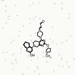 CN1CC[C@@H](Oc2nc3c(c(N4CCN(C=CC=O)CC4)n2)CCN(c2cc(O)cc4ccccc24)C3)C1